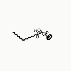 CCCCCC=CC/C=C\CCCCCCCC(=O)OCC(CO)COC(=O)CC12CC3CC(CC(C3)C1)C2